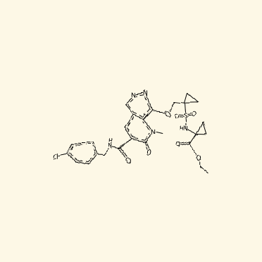 CCOC(=O)C1(NS(=O)(=O)C2(COc3nncc4cc(C(=O)NCc5ccc(Cl)cc5)c(=O)n(C)c34)CC2)CC1